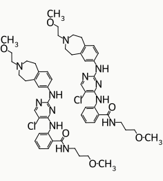 COCCCNC(=O)c1ccccc1Nc1nc(Nc2ccc3c(c2)CCN(CCOC)CC3)ncc1Cl.COCCCNC(=O)c1ccccc1Nc1nc(Nc2ccc3c(c2)CCN(CCOC)CC3)ncc1Cl